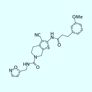 COc1cccc(CCC(=O)Nc2sc3c(c2C#N)CCN(C(=O)NCc2ccno2)C3)c1